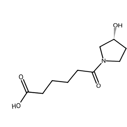 O=C(O)CCCCC(=O)N1CC[C@@H](O)C1